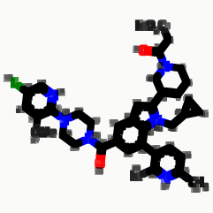 CCOC(=O)CC(=O)N1CCC=C(c2cc3cc(C(=O)N4CCN(c5ncc(F)cc5OC)CC4)cc(-c4ccc(C)nc4CC)c3n2CC2CC2)C1